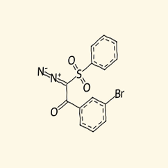 [N-]=[N+]=C(C(=O)c1cccc(Br)c1)S(=O)(=O)c1ccccc1